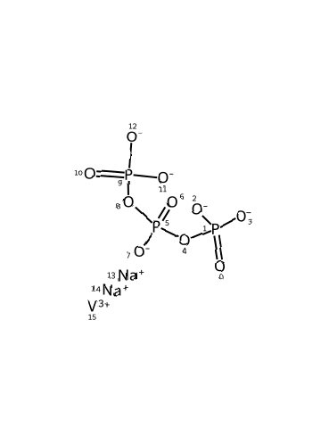 O=P([O-])([O-])OP(=O)([O-])OP(=O)([O-])[O-].[Na+].[Na+].[V+3]